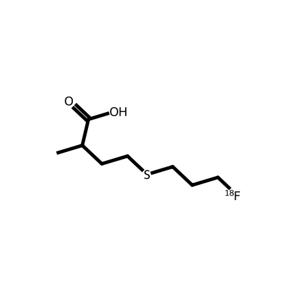 CC(CCSCCC[18F])C(=O)O